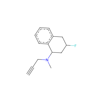 C#CCN(C)C1CC(F)Cc2ccccc21